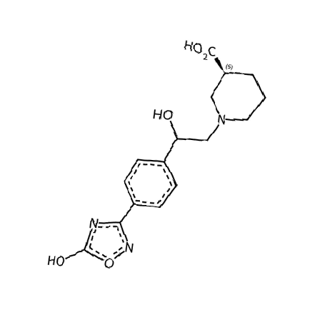 O=C(O)[C@H]1CCCN(CC(O)c2ccc(-c3noc(O)n3)cc2)C1